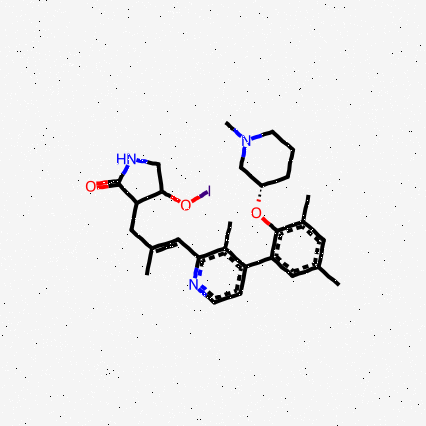 C/C(=C\c1nccc(-c2cc(C)cc(C)c2O[C@H]2CCCN(C)C2)c1C)CC1C(=O)NCC1OI